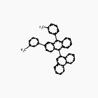 FC(F)(F)c1cccc(-c2ccc3c(-c4cc5ccccc5c5ccccc45)c4ccccc4c(-c4cccc(C(F)(F)F)c4)c3c2)c1